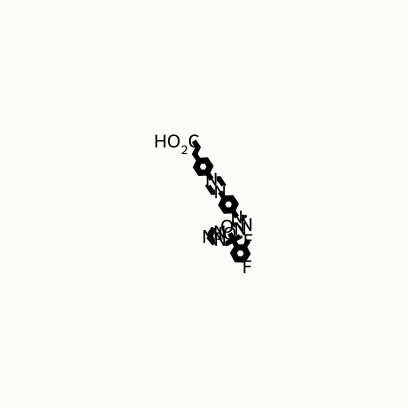 O=C(O)CCc1ccc(N2CCN(c3ccc(-n4cnn(CC(O)(Cn5cncn5)c5ccc(F)cc5F)c4=O)cc3)CC2)cc1